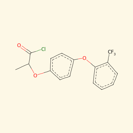 CC(Oc1ccc(Oc2ccccc2C(F)(F)F)cc1)C(=O)Cl